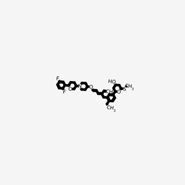 C=C/C(=C\C=C\OC1CCN(C2CCC(C3C=C(F)C=CC3F)OC2)CC1)Cc1cc(C2CC(O)CC(SC)O2)ccc1CC